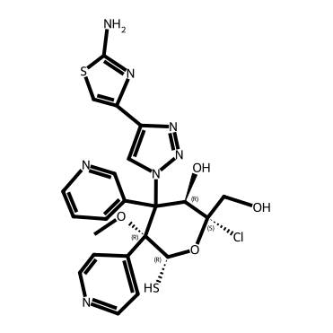 CO[C@@]1(c2ccncc2)[C@@H](S)O[C@](Cl)(CO)[C@H](O)C1(c1cccnc1)n1cc(-c2csc(N)n2)nn1